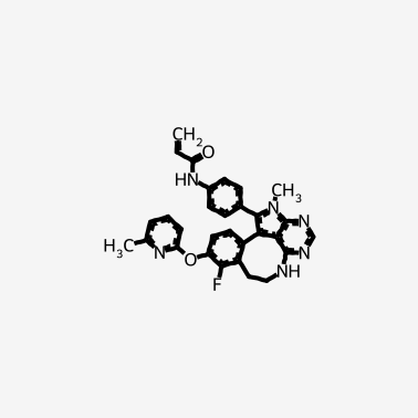 C=CC(=O)Nc1ccc(-c2c3c4c(ncnc4n2C)NCCc2c-3ccc(Oc3cccc(C)n3)c2F)cc1